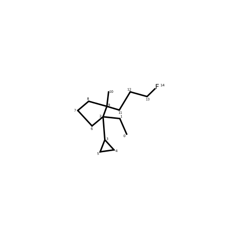 CCC1(C2CC2)CCCC1(C)CCCF